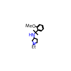 CCN1CCC(NC(C)(C)c2ccccc2OC)C1